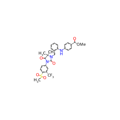 COC(=O)c1ccc(Nc2ccccc2CN2C(=O)N(c3ccc(S(C)(=O)=O)c(C(F)(F)F)c3)C(=O)C2(C)C)cc1